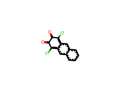 O=C1C(=O)C(Cl)=c2cc3ccccc3cc2=C1Cl